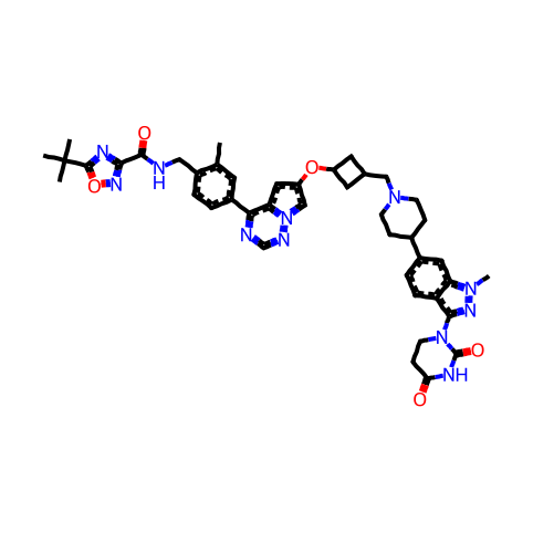 Cc1cc(-c2ncnn3cc(OC4CC(CN5CCC(c6ccc7c(N8CCC(=O)NC8=O)nn(C)c7c6)CC5)C4)cc23)ccc1CNC(=O)c1noc(C(C)(C)C)n1